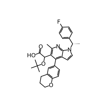 Cc1nc2c(ccn2[C@@H](C)c2ccc(F)cc2)c(-c2ccc3c(c2)CCCO3)c1C(OC(C)(C)C)C(=O)O